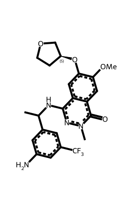 COc1cc2c(=O)n(C)nc(NC(C)c3cc(N)cc(C(F)(F)F)c3)c2cc1O[C@H]1CCOC1